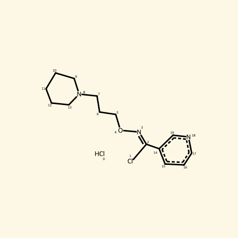 Cl.ClC(=NOCCCN1CCCCC1)c1cccnc1